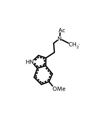 [CH2]N(CCc1c[nH]c2ccc(OC)cc12)C(C)=O